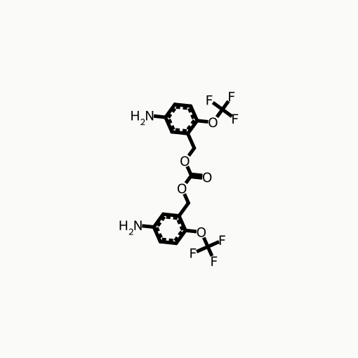 Nc1ccc(OC(F)(F)F)c(COC(=O)OCc2cc(N)ccc2OC(F)(F)F)c1